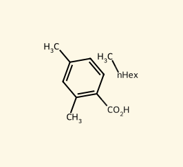 CCCCCCC.Cc1ccc(C(=O)O)c(C)c1